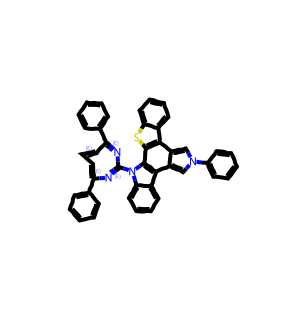 C1=C/C(c2ccccc2)=N\C(n2c3ccccc3c3c4cn(-c5ccccc5)cc4c4c5ccccc5sc4c32)=N/C(c2ccccc2)=C/1